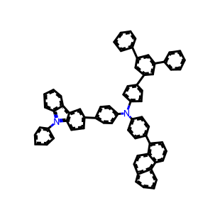 c1ccc(-c2cc(-c3ccccc3)cc(-c3ccc(N(c4ccc(-c5ccc6c(c5)c5ccccc5n6-c5ccccc5)cc4)c4ccc(-c5cccc6c5ccc5ccccc56)cc4)cc3)c2)cc1